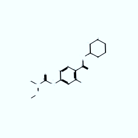 CON(C)C(=O)Nc1ccc(C(=O)SC2CCCCC2)c(Cl)c1